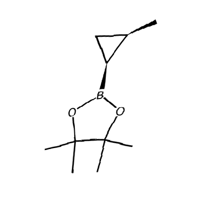 C[C@@H]1C[C@@H]1B1OC(C)(C)C(C)(C)O1